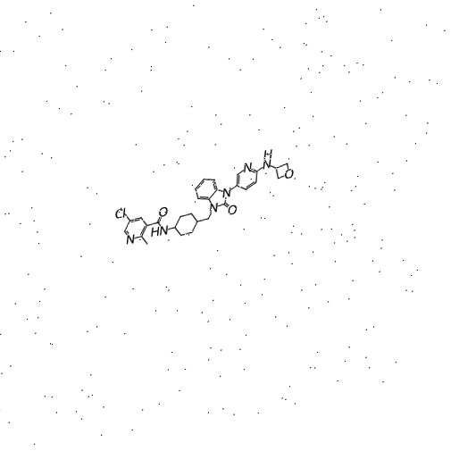 Cc1ncc(Cl)cc1C(=O)NC1CCC(Cn2c(=O)n(-c3ccc(NC4COC4)nc3)c3ccccc32)CC1